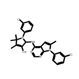 CC1=C(C#N)C(Nc2ncnc3c2cc(C)n3-c2cccc(Cl)c2)N(c2cccc(Cl)c2)C1(C)C